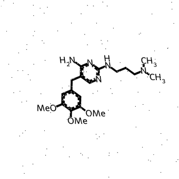 COc1cc(Cc2cnc(NCCCN(C)C)nc2N)cc(OC)c1OC